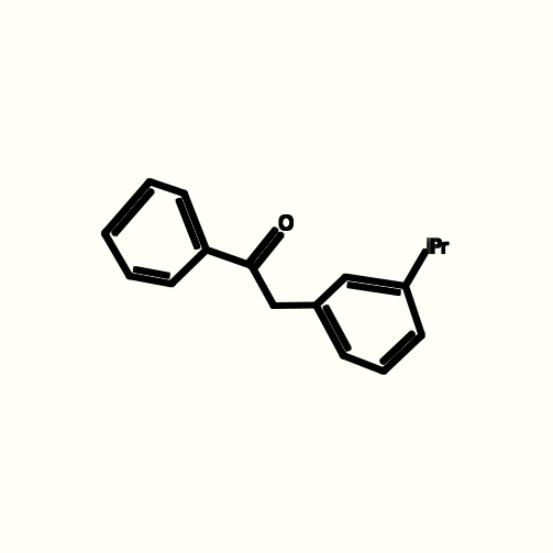 CC(C)c1cccc(CC(=O)c2ccccc2)c1